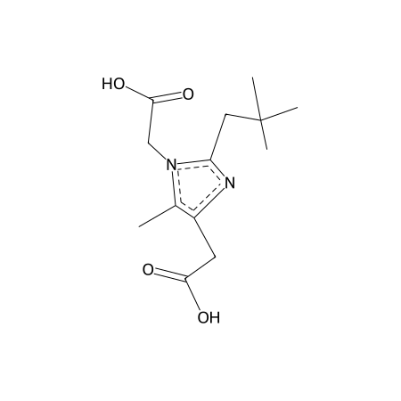 Cc1c(CC(=O)O)nc(CC(C)(C)C)n1CC(=O)O